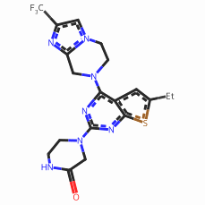 CCc1cc2c(N3CCn4cc(C(F)(F)F)nc4C3)nc(N3CCNC(=O)C3)nc2s1